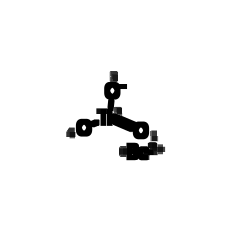 [Be+2].[O]=[Ti]([O-])[O-]